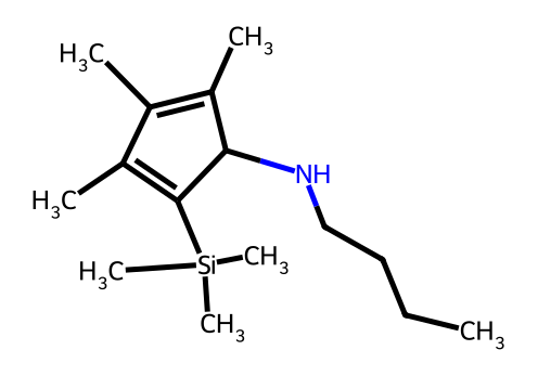 CCCCNC1C(C)=C(C)C(C)=C1[Si](C)(C)C